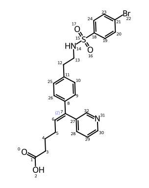 O=C(O)CCC/C=C(/c1ccc(CCNS(=O)(=O)c2ccc(Br)cc2)cc1)c1cccnc1